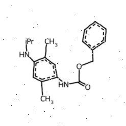 Cc1cc(NC(C)C)c(C)cc1NC(=O)OCc1ccccc1